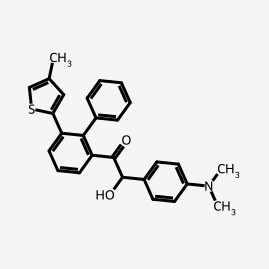 Cc1csc(-c2cccc(C(=O)C(O)c3ccc(N(C)C)cc3)c2-c2ccccc2)c1